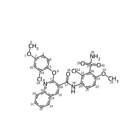 COc1ccc(Oc2nc3ccccc3cc2C(=O)Nc2ccc(OC)c(S(N)(=O)=O)c2Cl)c(Cl)c1